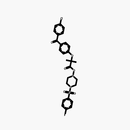 CC(C)(Oc1ccc(C(=O)c2ccc(Cl)cc2)cc1)C(=O)ON1CCN(S(=O)(=O)c2ccc(F)cc2)CC1